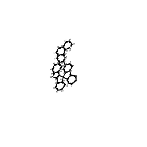 c1ccc2c(c1)-c1ccc(-c3ccc4ccc5cccnc5c4n3)cc1C21c2ccccc2-c2sc3ccccc3c21